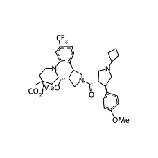 COC[C@H]1CN(C(=O)[C@@H]2CN(C3CCC3)C[C@H]2c2ccc(OC)cc2)C[C@@H]1c1ccc(C(F)(F)F)cc1N1CCC(C)(C(=O)O)CC1